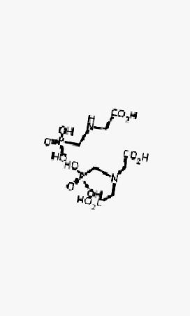 O=C(O)CN(CC(=O)O)CP(=O)(O)O.O=C(O)CNCP(=O)(O)O